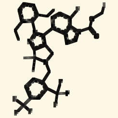 CCc1cccc(CC)c1-n1nc2c(c1-c1ccc(F)c3c1ccn3C(=O)OCI)CN(Cc1ccc(C(F)(F)F)cc1C(F)(F)F)C2(C)C